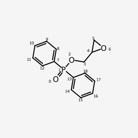 O=P(OCC1CO1)(c1ccccc1)c1ccccc1